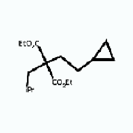 CCOC(=O)C(CCC1CC1)(CC(C)C)C(=O)OCC